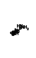 CC1Cc2cc(NS(=O)(=O)c3ccccc3)ccc2N(C(=O)CCc2ccc(C(=N)N)cc2)C1